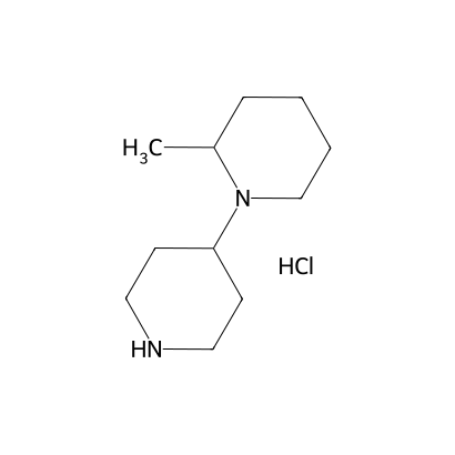 CC1CCCCN1C1CCNCC1.Cl